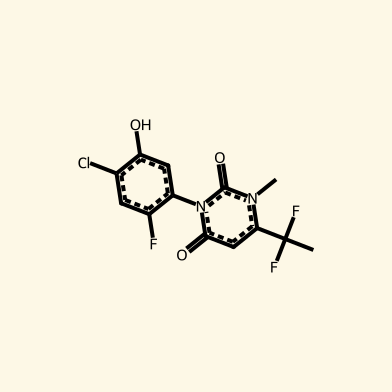 Cn1c(C(C)(F)F)cc(=O)n(-c2cc(O)c(Cl)cc2F)c1=O